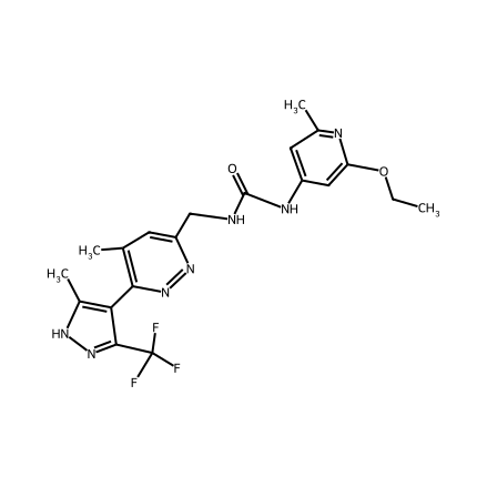 CCOc1cc(NC(=O)NCc2cc(C)c(-c3c(C(F)(F)F)n[nH]c3C)nn2)cc(C)n1